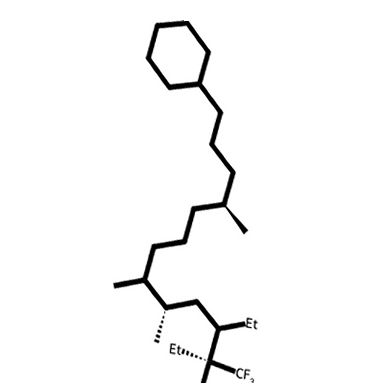 CCC(C[C@H](C)C(C)CCC[C@H](C)CCCC1CCCCC1)[C@@](O)(CC)C(F)(F)F